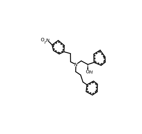 O=[N+]([O-])c1ccc(CCN(CCCc2ccccc2)C[C@H](O)c2ccccc2)cc1